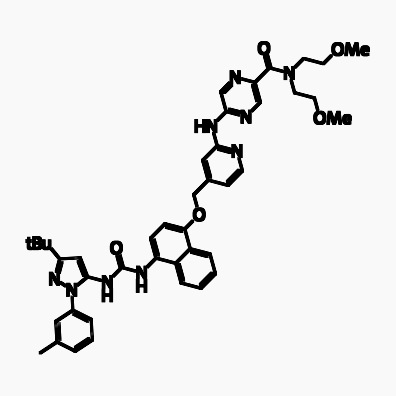 COCCN(CCOC)C(=O)c1cnc(Nc2cc(COc3ccc(NC(=O)Nc4cc(C(C)(C)C)nn4-c4cccc(C)c4)c4ccccc34)ccn2)cn1